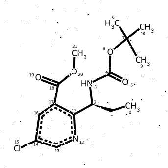 CC[C@H](NC(=O)OC(C)(C)C)c1ncc(Cl)cc1C(=O)OC